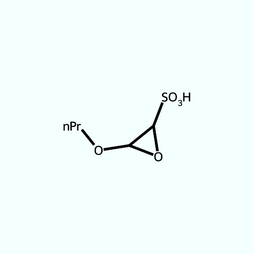 CCCOC1OC1S(=O)(=O)O